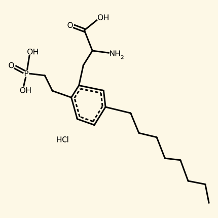 CCCCCCCCc1ccc(CCP(=O)(O)O)c(CC(N)C(=O)O)c1.Cl